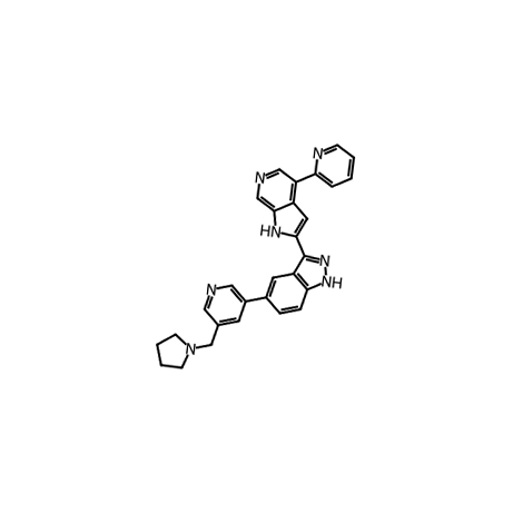 c1ccc(-c2cncc3[nH]c(-c4n[nH]c5ccc(-c6cncc(CN7CCCC7)c6)cc45)cc23)nc1